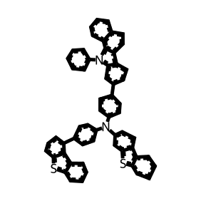 c1ccc(-n2c3cc(-c4ccc(N(c5ccc(-c6cccc7sc8ccccc8c67)cc5)c5ccc6c(c5)sc5ccccc56)cc4)ccc3c3ccc4ccccc4c32)cc1